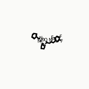 N[C@@H](CC(=O)N1C2CCC(C2)[C@@H]1c1nc(-c2ccccc2)no1)Cc1cc(F)c(F)cc1F